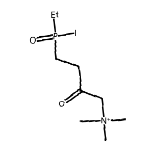 CCP(=O)(I)CCC(=O)C[N+](C)(C)C